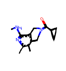 CNc1nc(C)c(C)c2c1CN(C(=O)C1CC1)C2